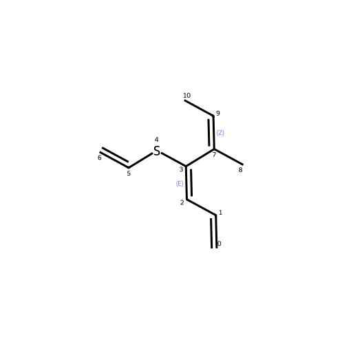 C=C/C=C(SC=C)\C(C)=C/C